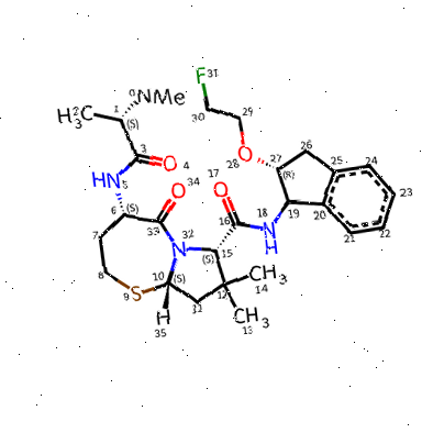 CN[C@@H](C)C(=O)N[C@H]1CCS[C@H]2CC(C)(C)[C@@H](C(=O)NC3c4ccccc4C[C@H]3OCCF)N2C1=O